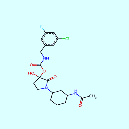 CC(=O)NC1CCCC(N2CCC(O)(OC(=O)NCc3cc(F)cc(Cl)c3)C2=O)C1